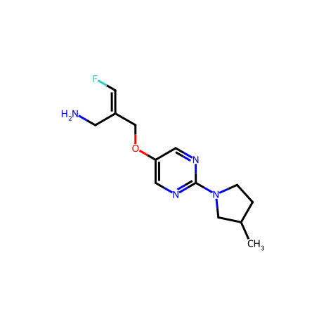 CC1CCN(c2ncc(OC/C(=C/F)CN)cn2)C1